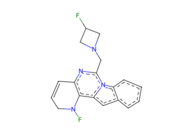 FC1CN(Cc2nc3c(c4cc5ccccc5n24)N(F)CC=C3)C1